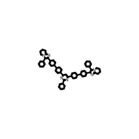 c1ccc(-c2nc(-c3ccc(-c4ccc(-c5nc6ccccn6c5-c5ccccc5)cc4)cc3)cc(-c3ccc(-c4ccc(-c5nc6ccccn6c5-c5ccccc5)cc4)cc3)n2)cc1